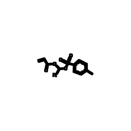 C=CC(=O)OC(CC)OS(=O)(=O)c1ccc(C)cc1